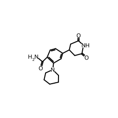 NC(=O)c1ccc(C2CC(=O)NC(=O)C2)cc1N1CCCCC1